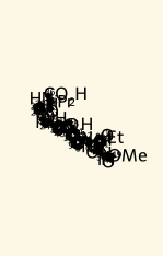 CCO[C@H]1C[C@@H](c2nc3ccc4cc5c(cc4c3[nH]2)OCc2cc(-c3cnc([C@@H]4CCCN4C(=O)[C@@H](NC(=O)O)C(C)C)[nH]3)ccc2-5)N(C(=O)[C@@H](NC(=O)OC)C(C)C)C1